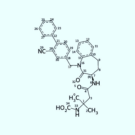 CC(C)(CC(=O)N[C@@H]1CCc2ccccc2N(Cc2ccc(-c3ccccc3)c(C#N)c2)C1=O)NC(=O)O